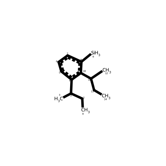 CCC(C)c1cccc([SiH3])c1C(C)CC